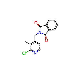 Cc1c(CN2C(=O)c3ccccc3C2=O)ccnc1Cl